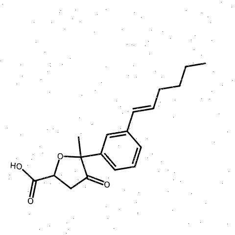 CCCC/C=C/c1cccc(C2(C)OC(C(=O)O)CC2=O)c1